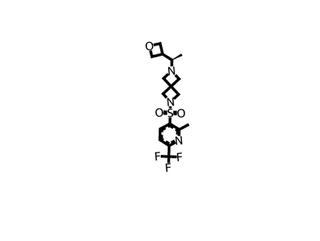 Cc1nc(C(F)(F)F)ccc1S(=O)(=O)N1CC2(CN([C@H](C)C3COC3)C2)C1